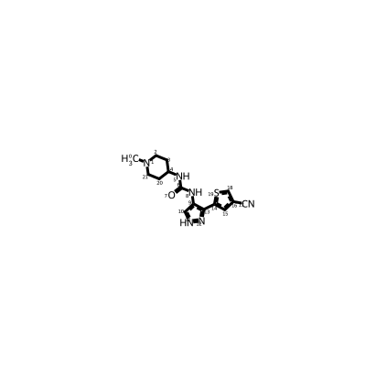 CN1CCC(NC(=O)Nc2c[nH]nc2-c2cc(C#N)cs2)CC1